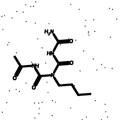 CCCCN(C(=O)NC(C)=O)C(=O)NC(N)=O